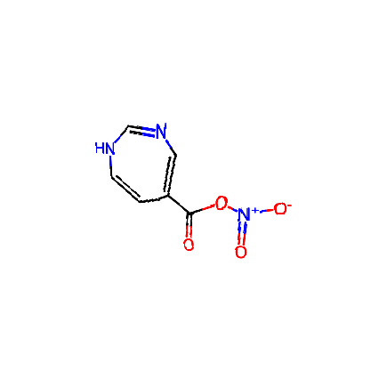 O=C(O[N+](=O)[O-])C1=CN=CNC=C1